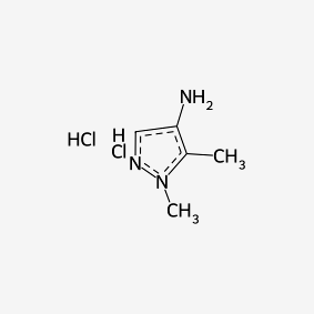 Cc1c(N)cnn1C.Cl.Cl